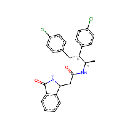 C[C@@H](NC(=O)CC1NC(=O)c2ccccc21)[C@H](Cc1ccc(Cl)cc1)c1ccc(Cl)cc1